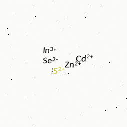 [Cd+2].[In+3].[S+2].[Se-2].[Zn+2]